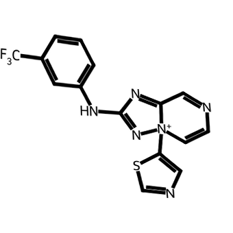 FC(F)(F)c1cccc(NC2=N[N+]3(c4cncs4)C=CN=CC3=N2)c1